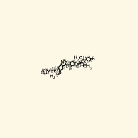 CCCC(CC)(C(=O)Nc1ccc(F)cc1)C(=O)Nc1ccc(Oc2ccnc3cc(OCCCN4CCOCC4)c(OC)cc23)c(F)c1